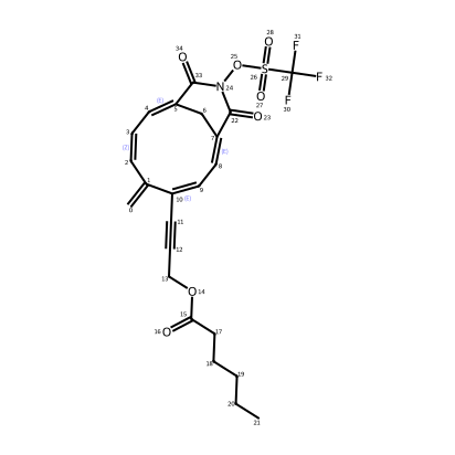 C=C1/C=C\C=C2/C/C(=C\C=C/1C#CCOC(=O)CCCCC)C(=O)N(OS(=O)(=O)C(F)(F)F)C2=O